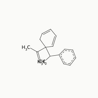 C=C(C)C1(C(C)c2ccccc2)C=CC=CC1